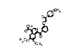 COc1cc2c(C(=O)O)cnc(C(=O)c3cccc(OCC(=O)N4CCN(C)CC4)c3)c2cc1OC